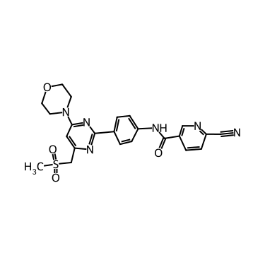 CS(=O)(=O)Cc1cc(N2CCOCC2)nc(-c2ccc(NC(=O)c3ccc(C#N)nc3)cc2)n1